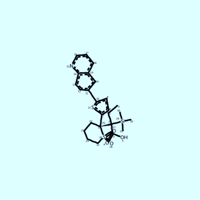 CCC(C(=O)O)([C@]1(c2ccc(-c3ccc4ncccc4c3)s2)CCCCS1(=O)=O)[Si](C)(C)C